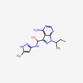 Cc1cc(NC(O)c2nn(C(C)CF)c3ncnc(N)c23)n[nH]1